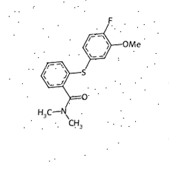 COc1cc(Sc2ccccc2C(=O)N(C)C)ccc1F